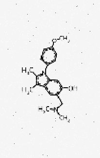 COc1ccc(-n2c(C)c(C)c3cc(CN(C)C)c(O)cc32)cc1